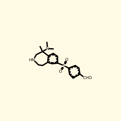 CN(C)C1(C)CNCCc2cc(S(=O)(=O)c3ccc(C=O)cc3)ccc21